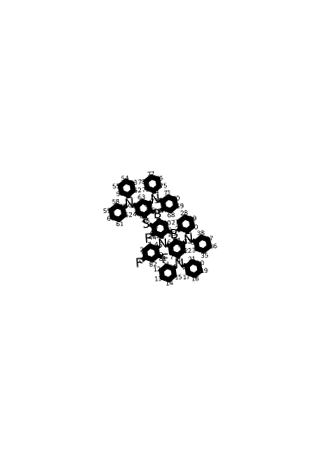 Fc1ccc(N2c3cc(N(c4ccccc4)c4ccccc4)cc4c3B(c3ccccc3N4c3ccccc3)c3cc4c(c(F)c32)Sc2cc(N(c3ccccc3)c3ccccc3)cc3c2B4c2ccccc2N3c2ccccc2)c(F)c1